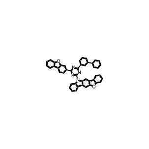 c1ccc(-c2cccc(-c3nc(-c4ccc5c(c4)oc4ccccc45)nc(-n4c5ccccc5c5cc6oc7ccccc7c6cc54)n3)c2)cc1